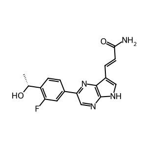 C[C@@H](O)c1ccc(-c2cnc3[nH]cc(/C=C/C(N)=O)c3n2)cc1F